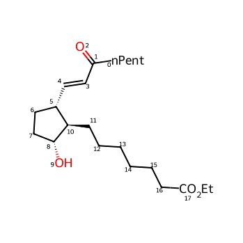 CCCCCC(=O)C=C[C@H]1CC[C@@H](O)[C@@H]1CCCCCCC(=O)OCC